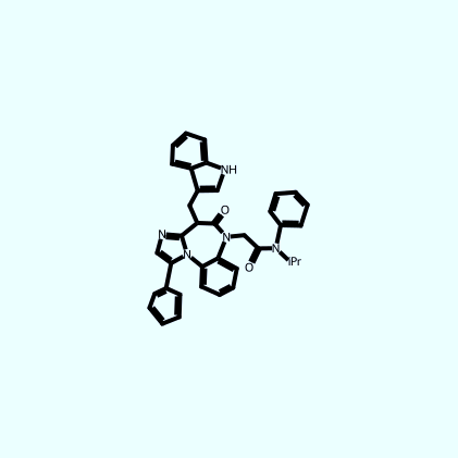 CC(C)N(C(=O)CN1C(=O)C(Cc2c[nH]c3ccccc23)c2ncc(-c3ccccc3)n2-c2ccccc21)c1ccccc1